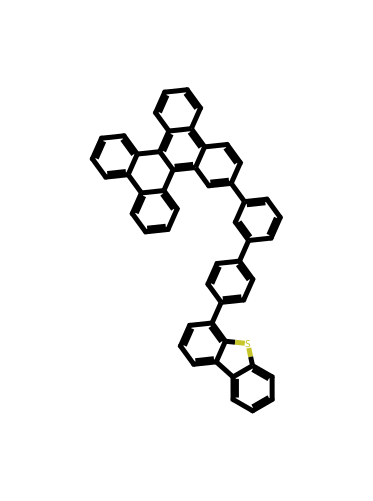 c1cc(-c2ccc(-c3cccc4c3sc3ccccc34)cc2)cc(-c2ccc3c4ccccc4c4c5ccccc5c5ccccc5c4c3c2)c1